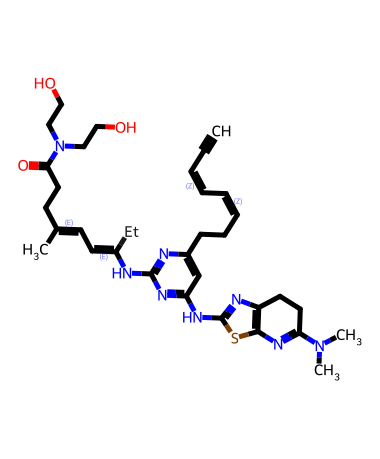 C#C/C=C\C=C/CCc1cc(Nc2nc3c(s2)N=C(N(C)C)CC3)nc(N/C(=C/C=C(\C)CCC(=O)N(CCO)CCO)CC)n1